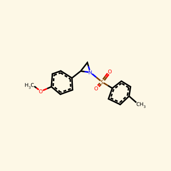 COc1ccc(C2CN2S(=O)(=O)c2ccc(C)cc2)cc1